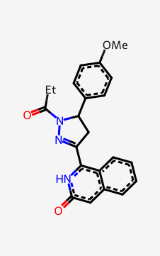 CCC(=O)N1N=C(c2[nH]c(=O)cc3ccccc23)CC1c1ccc(OC)cc1